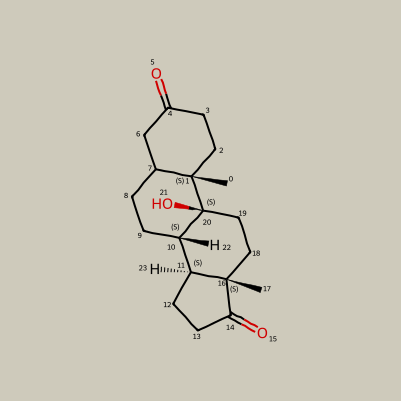 C[C@]12CCC(=O)CC1CC[C@H]1[C@@H]3CCC(=O)[C@@]3(C)CC[C@]12O